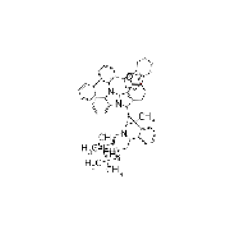 CC(C)(C)CC1CC2c3ccccc3C3(C)C(C4C5=C(c6oc7c(c6CC5)C=CCC7)C5N(c6c(-c7ccccc7)cccc6C6C=CC=CC6)c6ccccc6N45)C3N2C=C1[Si](C)(C)C